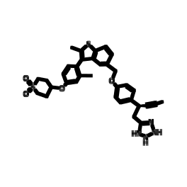 CC#C[C@@H](CC1=NNNN1)c1ccc(OCc2ccc3sc(C)c(-c4ccc(OC5CCS(=O)(=O)CC5)cc4C)c3c2)cc1